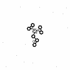 c1cc(-c2nc(-n3c4ccccc4c4ccccc43)nc(-n3c4ccccc4c4ccccc43)n2)cc(-c2cccc3c2oc2ccccc23)c1